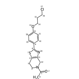 CC(=O)N1CCc2sc(-c3ccc(OCCCCl)cc3)nc2C1